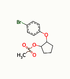 CS(=O)(=O)OC1CCCC1Oc1ccc(Br)cc1